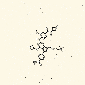 CNC(=O)c1ccc(-c2cn(COCC[Si](C)(C)C)c3nc(Nc4ccc(C(=O)NC5CN(C)C5)cc4OC)nc(OC4CCC4)c23)cc1